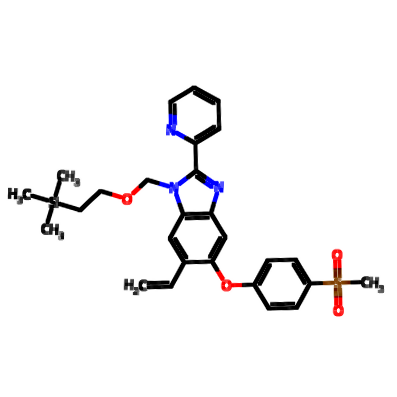 C=Cc1cc2c(cc1Oc1ccc(S(C)(=O)=O)cc1)nc(-c1ccccn1)n2COCC[Si](C)(C)C